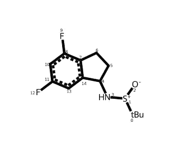 CC(C)(C)[S+]([O-])NC1CCc2c(F)cc(F)cc21